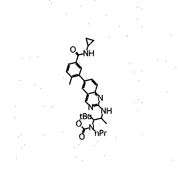 CCCN(C(=O)OC(C)(C)C)C(C)C(C)Nc1ncc2cc(-c3cc(C(=O)NC4CC4)ccc3C)ccc2n1